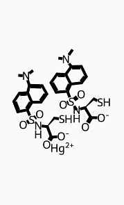 CN(C)c1cccc2c(S(=O)(=O)N[C@@H](CS)C(=O)[O-])cccc12.CN(C)c1cccc2c(S(=O)(=O)N[C@@H](CS)C(=O)[O-])cccc12.[Hg+2]